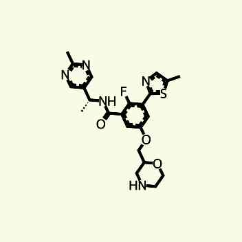 Cc1ncc([C@@H](C)NC(=O)c2cc(OCC3CNCCO3)cc(-c3ncc(C)s3)c2F)cn1